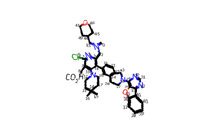 CN(Cc1nc(Cl)c(CC(=O)O)c(N2CCC(C)(C)CC2)c1-c1ccc2c(c1)CCN(c1ncnc3c1oc1ccccc13)C2)CC1CCOCC1